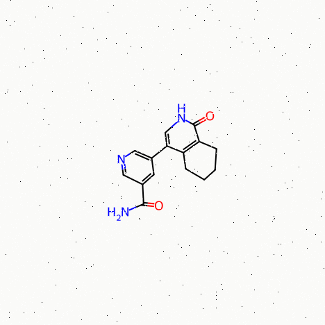 NC(=O)c1cncc(-c2c[nH]c(=O)c3c2CCCC3)c1